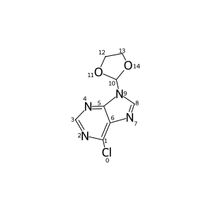 Clc1ncnc2c1ncn2C1OCCO1